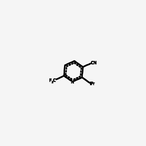 CC(C)c1nc(C(F)(F)F)ccc1C#N